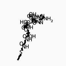 CCC=CSCCNC(=O)CCNC(=O)[C@H](O)C(C)(C)COP(=O)(O)OP(=O)(O)OC[C@H]1O[C@@H](n2cnc3c(N)ncnc32)[C@H](O)[C@@H]1OP(=O)(O)O